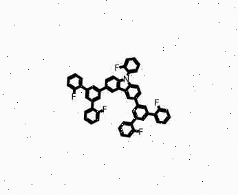 Fc1ccccc1-c1cc(-c2ccc3c(c2)c2cc(-c4cc(-c5ccccc5F)cc(-c5ccccc5F)c4)ccc2n3-c2ccccc2F)cc(-c2ccccc2F)c1